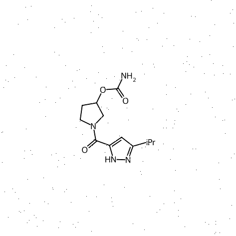 CC(C)c1cc(C(=O)N2CCC(OC(N)=O)C2)[nH]n1